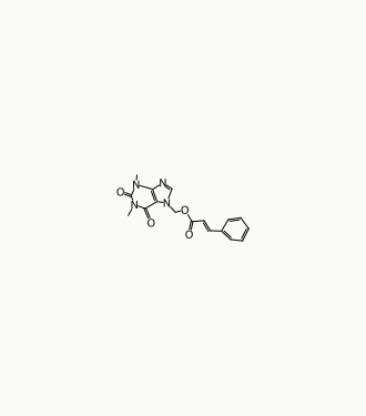 Cn1c(=O)c2c(ncn2COC(=O)/C=C/c2ccccc2)n(C)c1=O